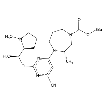 C[C@H](Oc1nc(C#N)cc(N2CCCN(C(=O)OC(C)(C)C)C[C@@H]2C)n1)[C@@H]1CCCN1C